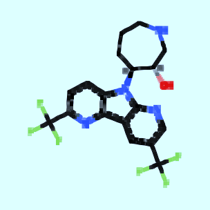 O[C@H]1CNCCC[C@@H]1n1c2ccc(C(F)(F)F)nc2c2cc(C(F)(F)F)cnc21